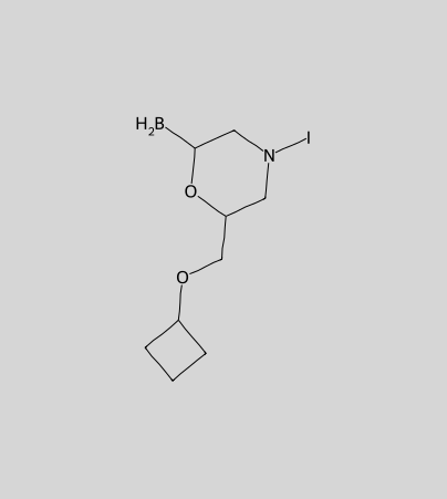 BC1CN(I)CC(COC2CCC2)O1